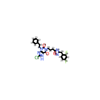 O=c1c2[nH]c(Cl)nc2n(CCc2ccccc2)c(=O)n1CCCc1nc(Cc2ccc(F)cc2F)no1